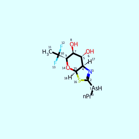 CCC[AsH]C1=N[C@@H]2[C@@H](O)[C@H](O)[C@@H](C(C)(F)F)O[C@@H]2S1